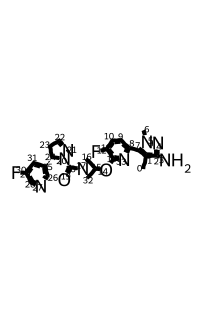 Cc1c(N)nn(C)c1-c1ccc(F)c(OC2CN(C(=O)N3N=CC[C@H]3c3cncc(F)c3)C2)n1